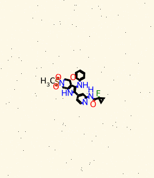 CS(=O)(=O)N1CC(=O)c2c([nH]c(-c3ccnc(NC(=O)C4(F)CC4)c3)c2Nc2ccccc2)C1